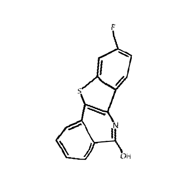 Oc1nc2c3ccc(F)cc3sc2c2ccccc12